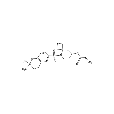 C=CC(=O)NC1CCN(S(=O)(=O)c2ccc3c(c2)CCC(C)(C)O3)C2(CCC2)C1